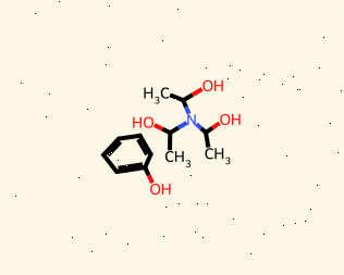 CC(O)N(C(C)O)C(C)O.Oc1ccccc1